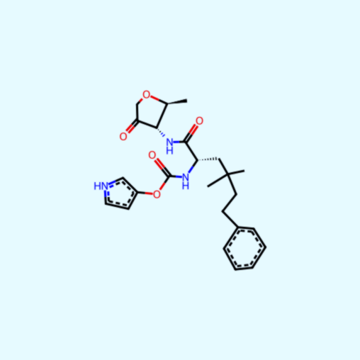 C[C@@H]1OCC(=O)[C@H]1NC(=O)[C@H](CC(C)(C)CCc1ccccc1)NC(=O)Oc1cc[nH]c1